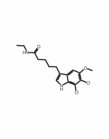 CCNC(=O)CCCCc1c[nH]c2c(Cl)c(Cl)c(OC)cc12